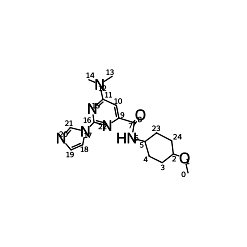 COC1CCC(NC(=O)c2cc(N(C)C)nc(-n3ccnc3)n2)CC1